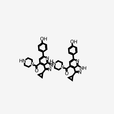 O=C(c1cc(-c2ccc(O)cc2)nc2[nH]nc(C3CC3)c12)N1CCNCC1.O=C(c1cc(-c2ccc(O)cc2)nc2[nH]nc(C3CC3)c12)N1CCNCC1